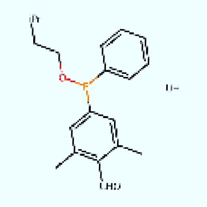 Cc1cc(P(OCCC(C)C)c2ccccc2)cc(C)c1C=O.[LiH]